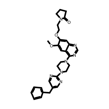 COc1cc2c(N3CCN(c4ncc(Cc5ccccc5)cn4)CC3)ncnc2cc1OCCN1CCCC1=O